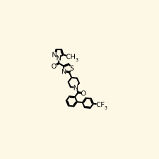 Cc1ccnn1C(=O)c1csc(C2CCN(C(=O)c3ccccc3-c3ccc(C(F)(F)F)cc3)CC2)n1